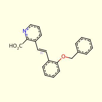 O=C(O)c1ncccc1/C=C/c1ccccc1OCc1ccccc1